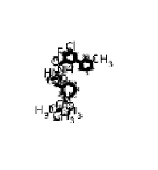 Cc1cccc(-c2cc(Cl)c(F)c(C(=O)NNS(=O)(=O)CC3CCCCN(C(=O)OC(C)(C)C)C3)c2)c1